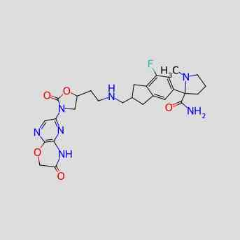 CN1CCCC1(C(N)=O)c1cc(F)c2c(c1)CC(CNCCC1CN(c3cnc4c(n3)NC(=O)CO4)C(=O)O1)C2